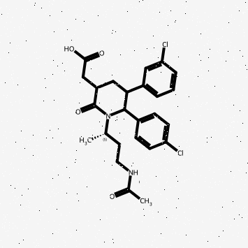 CC(=O)NCC[C@H](C)N1C(=O)C(CC(=O)O)CC(c2cccc(Cl)c2)C1c1ccc(Cl)cc1